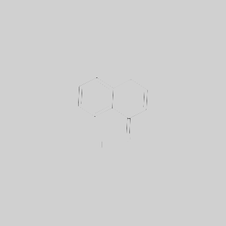 Cl.O=C1C=CCc2ccccc21